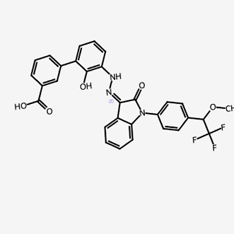 COC(c1ccc(N2C(=O)/C(=N\Nc3cccc(-c4cccc(C(=O)O)c4)c3O)c3ccccc32)cc1)C(F)(F)F